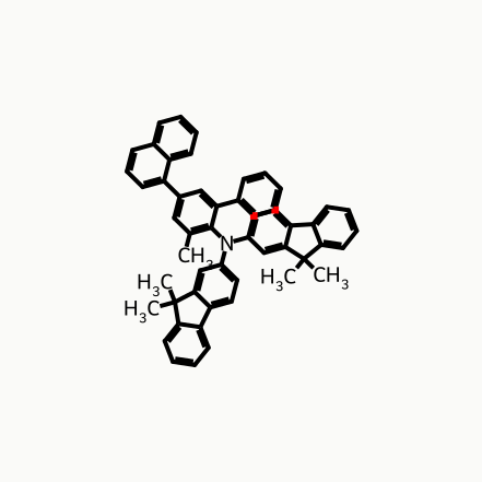 Cc1cc(-c2cccc3ccccc23)cc(-c2ccccc2)c1N(c1ccc2c(c1)C(C)(C)c1ccccc1-2)c1ccc2c(c1)C(C)(C)c1ccccc1-2